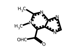 Cc1nc2ncnc-2c(C(=O)C=O)n1C